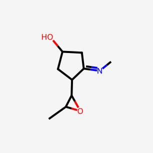 C/N=C1\CC(O)CC1C1OC1C